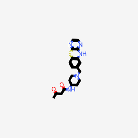 CC(=O)CC(=O)NC1CCN(Cc2ccc3c(c2)Nc2nccnc2S3)CC1